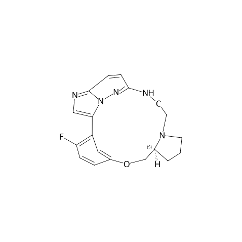 Fc1ccc2cc1-c1cnc3ccc(nn13)NCCN1CCC[C@H]1CO2